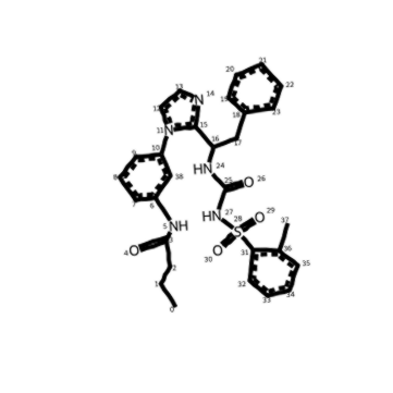 CCCC(=O)Nc1cccc(-n2ccnc2C(Cc2ccccc2)NC(=O)NS(=O)(=O)c2ccccc2C)c1